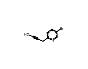 OC#CCc1ccc(Br)cn1